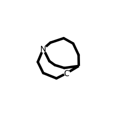 C1CCN2CCCCC(C1)CCC2